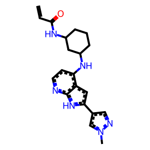 C=CC(=O)NC1CCCC(Nc2ccnc3[nH]c(-c4cnn(C)c4)cc23)C1